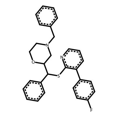 Fc1ccc(-c2cccnc2SC(c2ccccc2)C2CN(Cc3ccccc3)CCO2)cc1